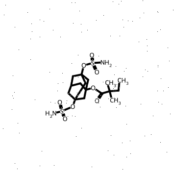 CCC(C)(C)C(=O)OC12CC3CC(OS(N)(=O)=O)(C1)CC(OS(N)(=O)=O)(C3)C2